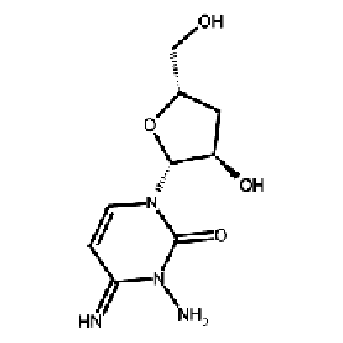 N=c1ccn([C@@H]2O[C@H](CO)C[C@H]2O)c(=O)n1N